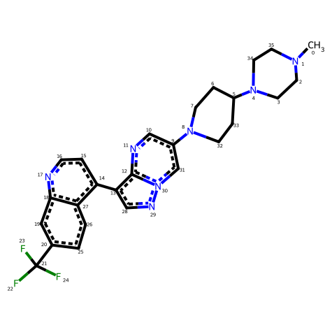 CN1CCN(C2CCN(c3cnc4c(-c5ccnc6cc(C(F)(F)F)ccc56)cnn4c3)CC2)CC1